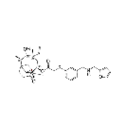 C=C[C@]1(C)C[C@@H](OC(=O)CSc2cccc(CNCc3ccco3)c2)[C@]2(C)C(C)CC34CC(CCC3=O)(C42)[C@@H](C)[C@@H]1O